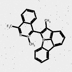 Cc1c(-c2c3ccccc3c(C(F)(F)F)n[n+]2C)n2c3ccccc3c3cccc1c32